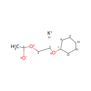 CC([O-])OCCOC1CCCCC1.[K+]